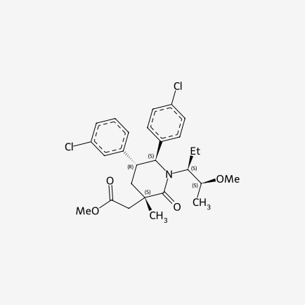 CC[C@@H]([C@H](C)OC)N1C(=O)[C@](C)(CC(=O)OC)C[C@H](c2cccc(Cl)c2)[C@H]1c1ccc(Cl)cc1